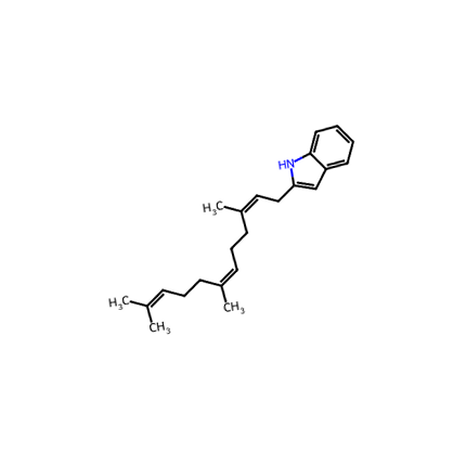 CC(C)=CCCC(C)=CCCC(C)=CCc1cc2ccccc2[nH]1